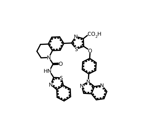 O=C(O)c1nc(-c2ccc3c(c2)N(C(=O)Nc2nc4ccccc4s2)CCC3)sc1Oc1ccc(-n2ncc3cccnc32)cc1